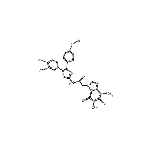 CCOc1ccc(-c2nc(NC(=O)Cn3cnc4c3c(=O)n(C)c(=O)n4C)sc2-c2ccc(Cl)c(Cl)c2)cc1